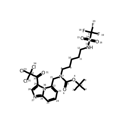 CC(C)(C)OC(=O)N(CCCCCNS(=O)(=O)C(F)(F)F)Cc1cccc2ncc(C(=O)C(Cl)(Cl)Cl)n12